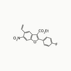 C=Cc1cc2c(C(=O)OCC)c(-c3ccc(F)cc3)oc2cc1[N+](=O)[O-]